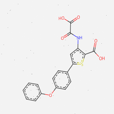 O=C(O)C(=O)Nc1cc(-c2ccc(Oc3ccccc3)cc2)sc1C(=O)O